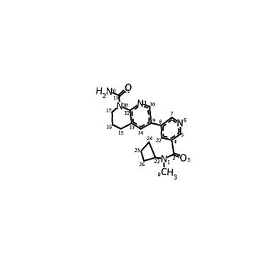 CN(C(=O)c1cncc(-c2cnc3c(c2)CCCN3C(N)=O)c1)C1CCC1